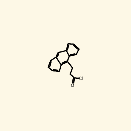 O=C(Cl)CCc1c2ccccc2cc2ccccc12